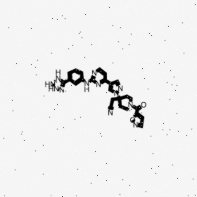 N#CCC1(n2cc(-c3ccnc(Nc4cccc(C5=NNNN5)c4)n3)cn2)CCN(C(=O)c2ccno2)CC1